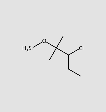 CCC(Cl)C(C)(C)O[SiH3]